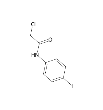 O=C(CCl)Nc1ccc(I)cc1